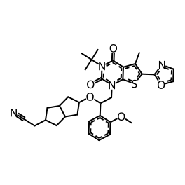 COc1ccccc1C(Cn1c(=O)n(C(C)(C)C)c(=O)c2c(C)c(-c3ncco3)sc21)OC1CC2CC(CC#N)CC2C1